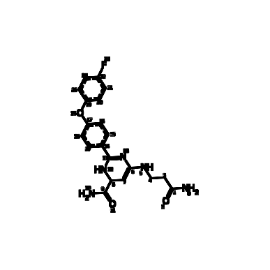 NC(=O)CCNC1=CC(C(N)=O)NC(c2ccc(Oc3ccc(F)cc3)cc2)=N1